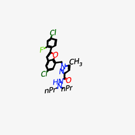 CCCN(CCC)NC(=O)c1cc(C)n(Cc2cc(Cl)cc3cc(-c4ccc(Cl)cc4F)oc23)n1